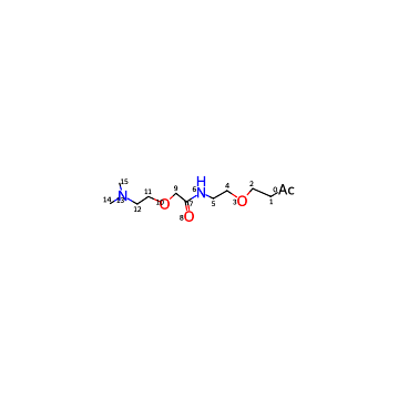 CC(=O)CCOCCNC(=O)COCCN(C)C